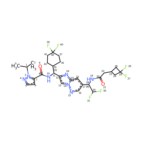 CC(C)n1nccc1C(=O)N[C@H](c1cn2ncc([C@@H](NC(=O)CC3CC(F)(F)C3)C(F)F)cc2n1)C1CCC(F)(F)CC1